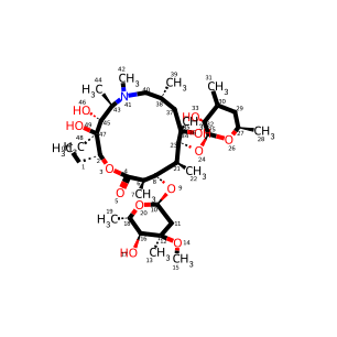 CC[C@H]1OC(=O)[C@H](C)[C@@H](O[C@H]2C[C@@](C)(OC)[C@@H](O)[C@H](C)O2)[C@H](C)[C@@H](O[C@@H]2O[C@H](C)CC(C)[C@H]2O)[C@](C)(O)C[C@@H](C)CN(C)[C@H](C)[C@@H](O)[C@]1(C)O